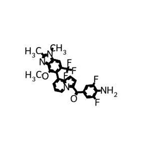 COc1c(-c2cccn3c(C(=O)c4cc(F)c(N)c(F)c4)ccc23)c(C(F)(F)F)cc2c1nc(C)n2C